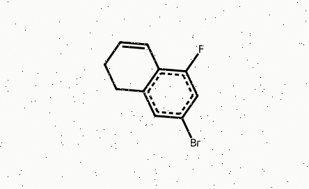 Fc1cc(Br)cc2c1C=CCC2